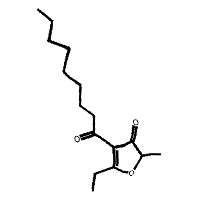 CCCCCCCCC(=O)C1=C(CC)OC(C)C1=O